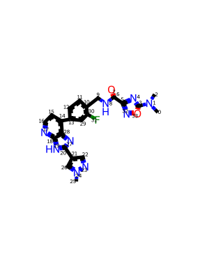 CN(C)c1nc(C(=O)NCc2ccc(-c3ccnc4[nH]c(-c5cnn(C)c5)nc34)cc2F)no1